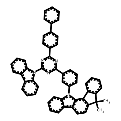 CC1(C)c2ccccc2-c2c1ccc1c3ccccc3n(-c3cccc(-c4nc(-c5ccc(-c6ccccc6)cc5)nc(-n5c6ccccc6c6ccccc65)n4)c3)c21